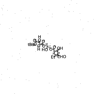 CCc1cc(C(=O)OCC(O)COC(=O)C(O)C(O)C(=O)OC(C)(C)C)c(O)cc1C=O